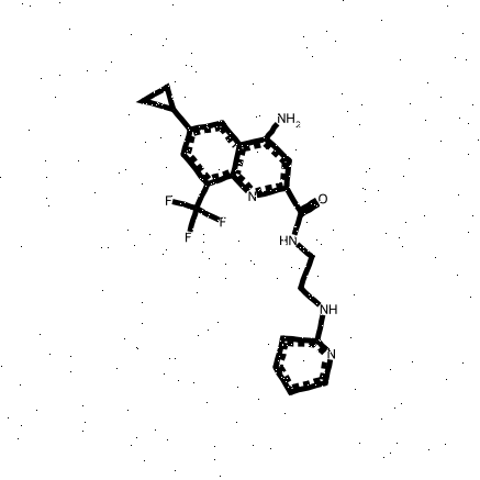 Nc1cc(C(=O)NCCNc2ccccn2)nc2c(C(F)(F)F)cc(C3CC3)cc12